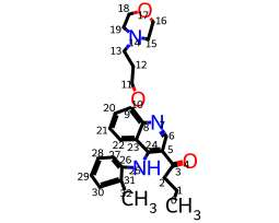 CCCC(=O)c1cnc2c(OCCCN3CCOCC3)cccc2c1Nc1ccccc1C